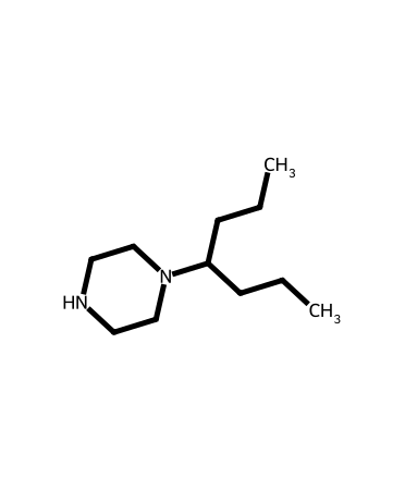 CCCC(CCC)N1CCNCC1